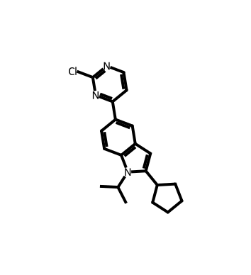 CC(C)n1c(C2CCCC2)cc2cc(-c3ccnc(Cl)n3)ccc21